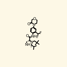 CC(C)CN(CC(C)(C)C)[C@H](CN)C(=O)Nc1ccc(N2CCOCC2=O)cc1C(F)F